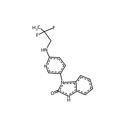 CC(F)(F)CNc1ccc(-n2c(=O)[nH]c3ccccc32)cn1